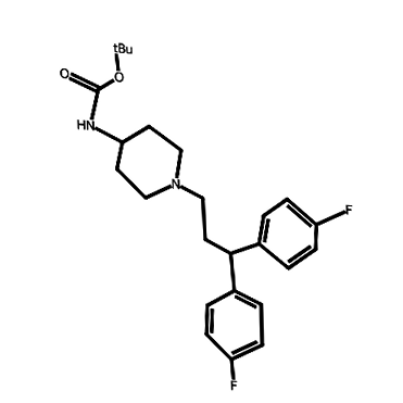 CC(C)(C)OC(=O)NC1CCN(CCC(c2ccc(F)cc2)c2ccc(F)cc2)CC1